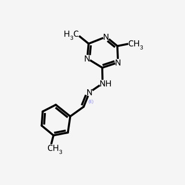 Cc1cccc(/C=N/Nc2nc(C)nc(C)n2)c1